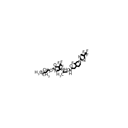 C[C@@H](CONC(=O)CC1CCN(c2ncc(C(F)(F)F)cn2)CC1F)Nc1cnn(COCC[Si](C)(C)C)c(=O)c1C(F)(F)F